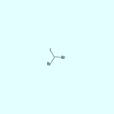 BrC(Br)I